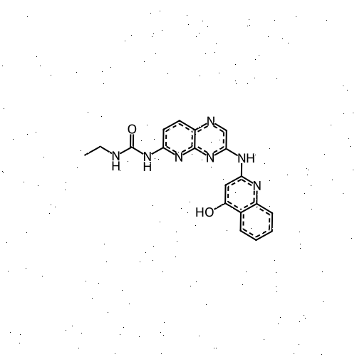 CCNC(=O)Nc1ccc2ncc(Nc3cc(O)c4ccccc4n3)nc2n1